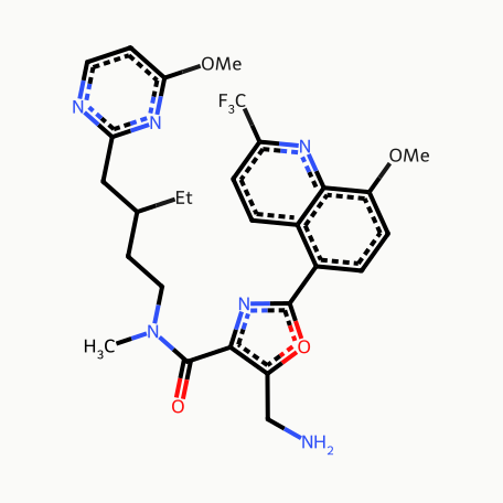 CCC(CCN(C)C(=O)c1nc(-c2ccc(OC)c3nc(C(F)(F)F)ccc23)oc1CN)Cc1nccc(OC)n1